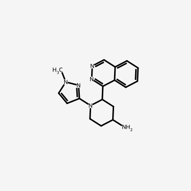 Cn1ccc(N2CCC(N)CC2c2nncc3ccccc23)n1